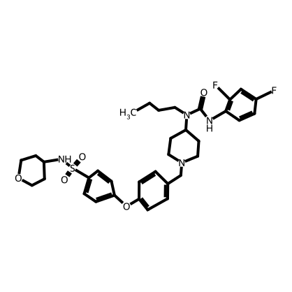 CCCCN(C(=O)Nc1ccc(F)cc1F)C1CCN(Cc2ccc(Oc3ccc(S(=O)(=O)NC4CCOCC4)cc3)cc2)CC1